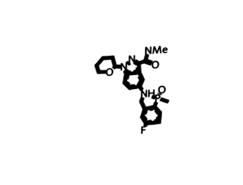 CNC(=O)c1nn(C2CCCCO2)c2ccc(NCc3cc(F)ccc3P(C)(C)=O)cc12